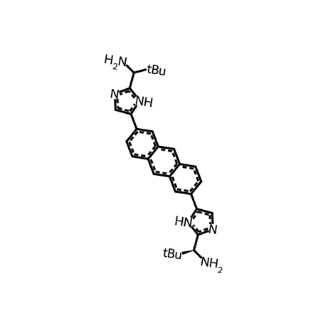 CC(C)(C)C(N)c1ncc(-c2ccc3cc4cc(-c5cnc([C@@H](N)C(C)(C)C)[nH]5)ccc4cc3c2)[nH]1